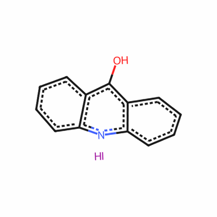 I.Oc1c2ccccc2nc2ccccc12